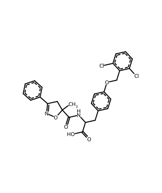 CC1(C(=O)NC(Cc2ccc(OCc3c(Cl)cccc3Cl)cc2)C(=O)O)CC(c2ccccc2)=NO1